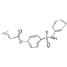 C=CC(=O)Oc1ccc(S(=O)(=O)Nc2ccccc2)cc1